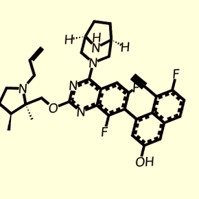 C#Cc1c(F)ccc2cc(O)cc(-c3c(F)cc4c(N5C[C@H]6CC[C@@H](C5)N6)nc(OC[C@@]5(C)[C@@H](C)CCN5CC=C)nc4c3F)c12